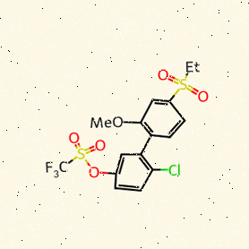 CCS(=O)(=O)c1ccc(-c2cc(OS(=O)(=O)C(F)(F)F)ccc2Cl)c(OC)c1